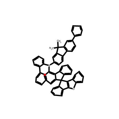 CC1(C)c2cc(-c3ccccc3)ccc2-c2ccc(N(c3ccccc3-c3ccccc3)c3cccc4c3-c3ccccc3C43c4ccccc4-c4oc5ccccc5c43)cc21